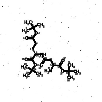 CC(C)(C)OC(=O)CC[C@H](NC(=O)C[C@H](N)C(=O)OC(C)(C)C)C(=O)OC(C)(C)C